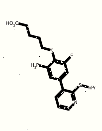 CCCSc1ncccc1-c1cc(F)c(SCCCCC(=O)O)c(P)c1